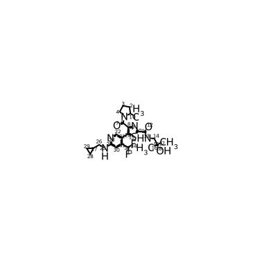 CC1CCCN1C(=O)c1nc(C(=O)NCC(C)(C)O)sc1-c1cnc(NCC2CC2)cc1C(F)F